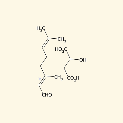 CC(C)=CCC/C(C)=C/C=O.O=C(O)CC(O)C(=O)O